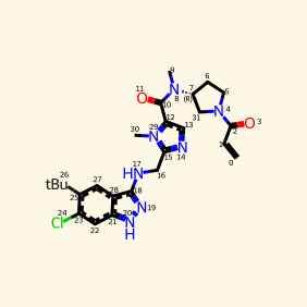 C=CC(=O)N1CC[C@@H](N(C)C(=O)c2cnc(CNc3n[nH]c4cc(Cl)c(C(C)(C)C)cc34)n2C)C1